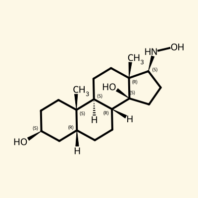 C[C@]12CC[C@H](O)C[C@H]1CC[C@@H]1[C@@H]2CC[C@]2(C)[C@@H](NO)CC[C@]12O